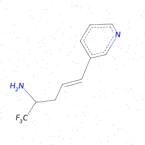 NC(CC=Cc1cccnc1)C(F)(F)F